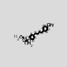 CCOC(C)(C)Oc1ccc(C=CC=Cc2ccc(O)cc2)cc1